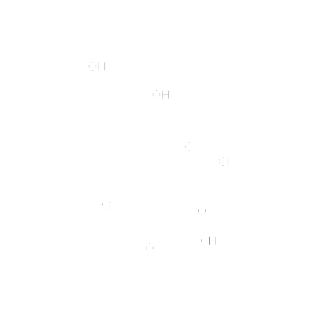 COc1c(OC)c2c(O)c(O)ccc2oc1=O